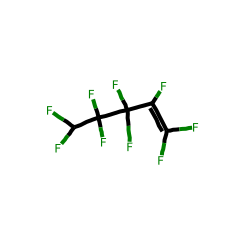 F[C](F)C(F)(F)C(F)(F)C(F)=C(F)F